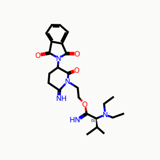 CCN(CC)[C@H](C(=N)OCCN1C(=N)CCC(N2C(=O)c3ccccc3C2=O)C1=O)C(C)C